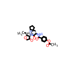 CC[C@@H]1OCC(=O)[C@H]1NC(=O)[C@H](CC1(C)CCCC1)NC(=O)c1ccc(OC(C)=O)cc1